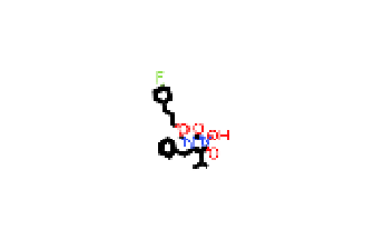 CC(C)c1c(Cc2ccccc2)n(COCCCc2ccc(F)cc2)c(=O)n(O)c1=O